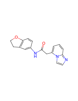 O=C(Cc1cccc2nccn12)Nc1ccc2c(c1)CCO2